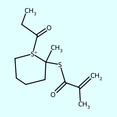 C=C(C)C(=O)SC1(C)CCCC[S+]1C(=O)CC